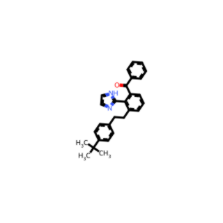 CC(C)(C)c1ccc(CCc2cccc(C(=O)c3ccccc3)c2-c2ncc[nH]2)cc1